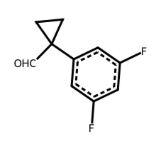 O=CC1(c2cc(F)cc(F)c2)CC1